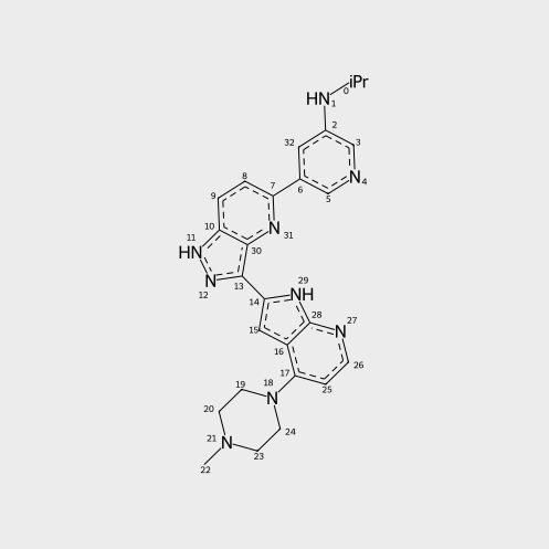 CC(C)Nc1cncc(-c2ccc3[nH]nc(-c4cc5c(N6CCN(C)CC6)ccnc5[nH]4)c3n2)c1